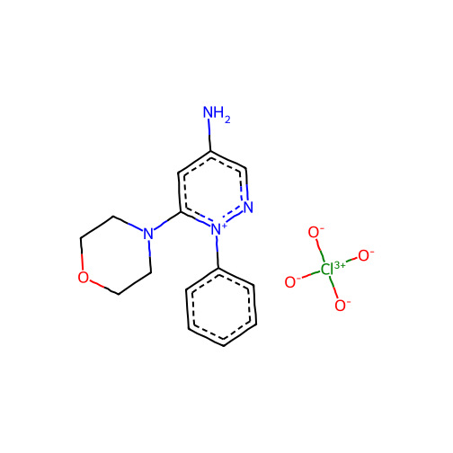 Nc1cn[n+](-c2ccccc2)c(N2CCOCC2)c1.[O-][Cl+3]([O-])([O-])[O-]